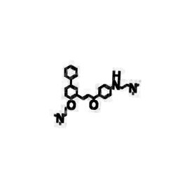 CN(C)CCNc1ccc(C(=O)C=Cc2cc(-c3ccccc3)ccc2OCCN(C)C)cc1